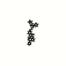 O=C(c1ccccc1)c1ccccc1NC(Cc1ccc(OCCCN(C(=O)Cc2ccsc2)c2ccccc2)cc1)C(=O)O